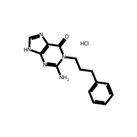 Cl.Nc1nc2[nH]cnc2c(=O)n1CCCc1ccccc1